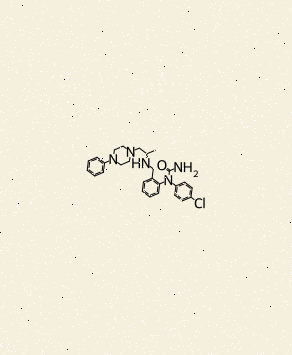 CC(CN1CCN(c2ccccc2)CC1)NCc1ccccc1N(C(N)=O)c1ccc(Cl)cc1